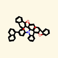 c1ccc(N(c2ccc(-c3cccc4ccccc34)cc2)c2cccc3oc4c5ccccc5ccc4c23)c(-c2cccc3c2oc2ccccc23)c1